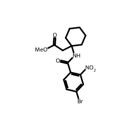 COC(=O)CC1(NC(=O)c2ccc(Br)cc2[N+](=O)[O-])CCCCC1